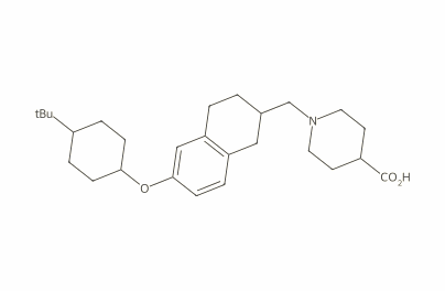 CC(C)(C)C1CCC(Oc2ccc3c(c2)CCC(CN2CCC(C(=O)O)CC2)C3)CC1